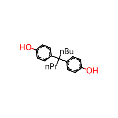 CCCCC(CCC)(c1ccc(O)cc1)c1ccc(O)cc1